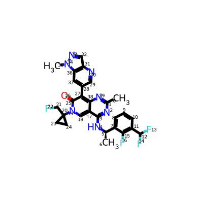 Cc1nc(N[C@H](C)c2cccc(C(F)F)c2F)c2cn(C3(CF)CC3)c(=O)c(-c3cnc4cnn(C)c4c3)c2n1